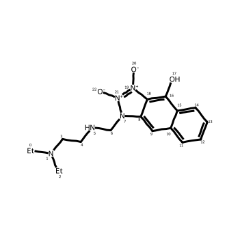 CCN(CC)CCNCn1c2cc3ccccc3c(O)c2[n+]([O-])[n+]1[O-]